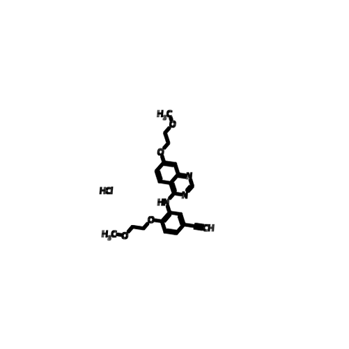 C#Cc1ccc(OCCOC)c(Nc2ncnc3cc(OCCOC)ccc23)c1.Cl